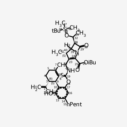 C=C(C)[C@@H]1CCC(C)=C[C@H]1c1c(O)cc(CCCCC)cc1OC(=S)NCC1=C(C(=O)OCC(C)C)N2C(=O)[C@H](C(C)O[Si](C)(C)C(C)(C)C)[C@H]2[C@H]1C